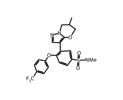 CNS(=O)(=O)c1ccc(Oc2ccc(C(F)(F)F)cc2)c(-c2cnn3c2OCC(C)C3)c1